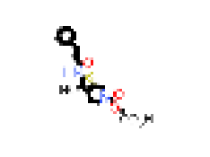 N#Cc1c(NC(=O)/C=C/c2ccccc2)sc2c1CCN(C(=O)OCC(=O)O)C2